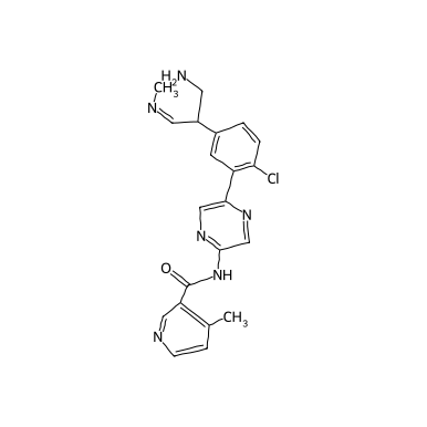 C/N=C\C(CN)c1ccc(Cl)c(-c2cnc(NC(=O)c3cnccc3C)cn2)c1